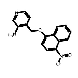 Nc1cnccc1COc1ccc([N+](=O)[O-])c2ccccc12